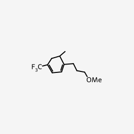 COCCCC1=CC=C(C(F)(F)F)CC1C